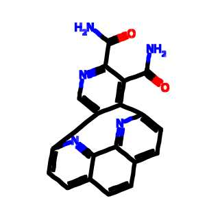 NC(=O)c1ncc2c3ccc4ccc5ccc(nc5c4n3)c2c1C(N)=O